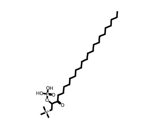 CCCCCCCCCCCCCCCCCCCCCC(=O)C(C[N+](C)(C)C)OP(=O)(O)O